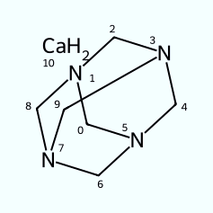 C1N2CN3CN1CN(C2)C3.[CaH2]